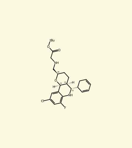 CC(C)(C)OC(=O)CNC[C@H]1CC[C@@H]2[C@H](O1)c1cc(Cl)cc(F)c1N[C@H]2C1C=CC=CC1